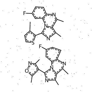 Cc1ccsc1-c1nc(C)c2c(C)nc3ccc(F)cc3n12.Cc1noc(C)c1-c1nc(C)c2c(C)nc3ccc(F)cc3n12